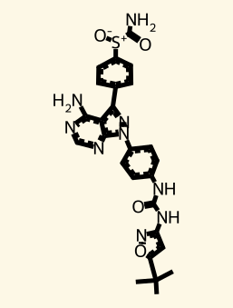 CC(C)(C)c1cc(NC(=O)Nc2ccc(-n3nc(-c4ccc([S+]([O-])C(N)=O)cc4)c4c(N)ncnc43)cc2)no1